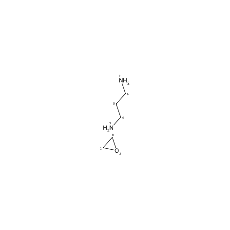 C1CO1.NCCCN